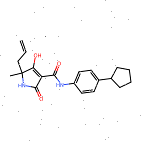 C=CCC1(C)NC(=O)C(C(=O)Nc2ccc(C3CCCC3)cc2)=C1O